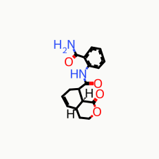 NC(=O)c1ccccc1NC(=O)C1CC=C[C@@H]2CCOC(=O)[C@H]12